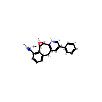 N#Cc1cccc2c1[C@H]1OC1c1ncc(-c3ccccc3)cc1C2